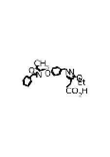 CCOc1nn(Cc2ccc(OCc3nc(-c4ccccc4)oc3C)cc2)cc1CCC(=O)O